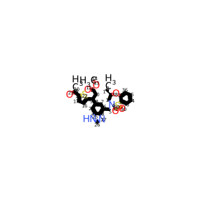 CC[C@@H]1CN(Cc2cc(C(CC(=O)OC)c3ccc(C(C)=O)s3)cc3[nH]cnc23)S(=O)(=O)c2ccccc2O1